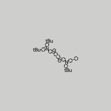 CC(C)(C)c1ccc(N(c2ccc(-c3ccccc3)cc2)c2ccc3c(c2)oc2cc4cc5c(cc4cc23)oc2cc(-n3c4ccc(C(C)(C)C)cc4c4cc(C(C)(C)C)ccc43)ccc25)cc1